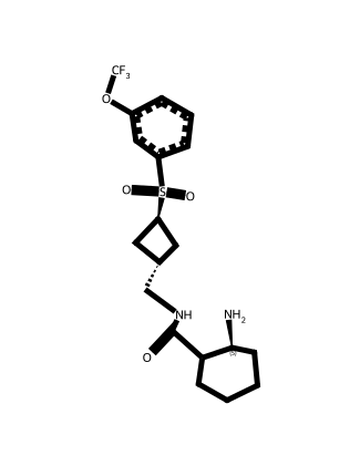 N[C@H]1CCCCC1C(=O)NC[C@H]1C[C@H](S(=O)(=O)c2cccc(OC(F)(F)F)c2)C1